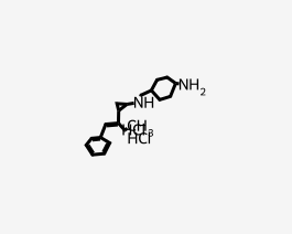 CC/C(=C\c1ccccc1)C1CC1NCC1CCC(N)CC1.Cl.Cl